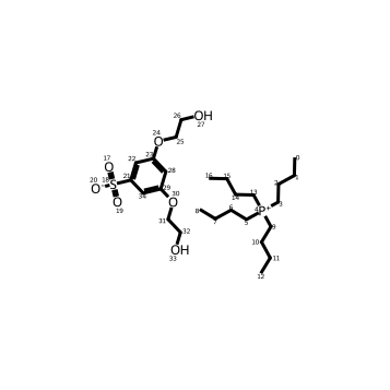 CCCC[P+](CCCC)(CCCC)CCCC.O=S(=O)([O-])c1cc(OCCO)cc(OCCO)c1